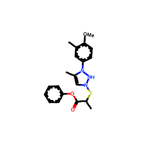 COc1ccc(N2NN(SC(C)C(=O)Oc3ccccc3)C=C2C)cc1C